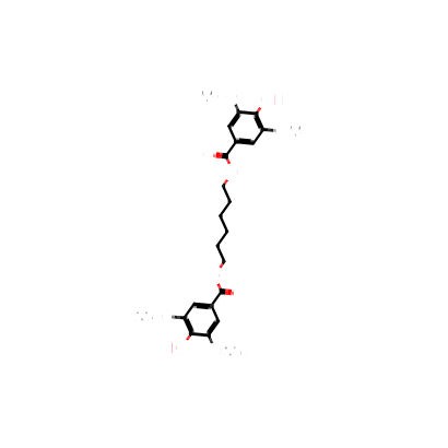 COc1cc(C(=O)OCCCCCCOC(=O)c2cc(OC)c(O)c(OC)c2)cc(OC)c1O